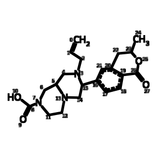 C=CCN1CC2CN(C(=O)O)CCN2CC1c1ccc2c(c1)CC(C)OC2=O